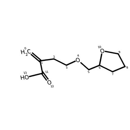 C=C(CCOCC1CCCO1)C(=O)O